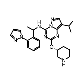 CC(C)c1cnn2c(NC(C)c3ccccc3-n3cccn3)nc(O[C@@H]3CCCNC3)nc12